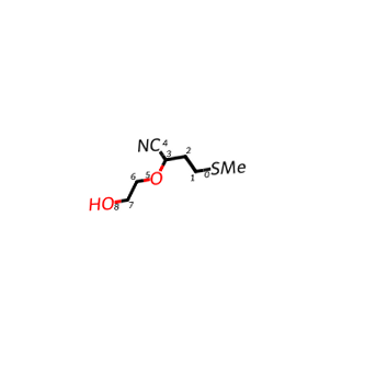 CSCCC(C#N)OCCO